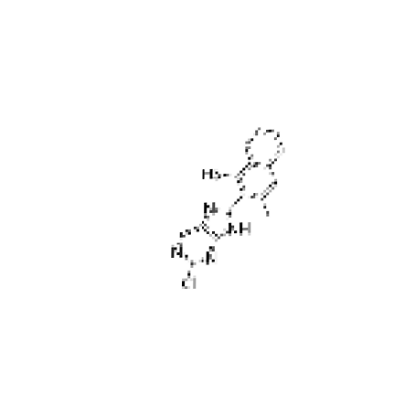 Cc1cc2ccccc2c(S)c1-c1nc2cnc(Cl)nc2[nH]1